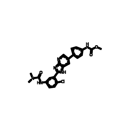 COC(=O)Nc1ccc(-c2cnc3nc(-c4cc(NC(=O)N(C)C)ccc4Cl)[nH]c3c2)cc1